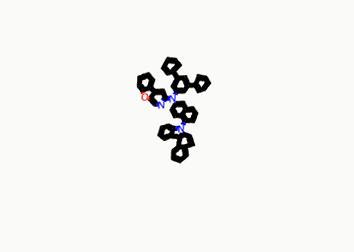 c1ccc(-c2cc(-c3ccccc3)cc(N(c3ccc4c(-n5c6ccccc6c6c7ccccc7ccc65)cccc4c3)c3cc4c(cn3)oc3ccccc34)c2)cc1